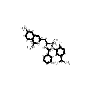 CC(C)c1ccc(F)c(N2C(c3ccccc3)=NC(Cc3cc4cc(N)ccc4c(N)n3)N2C)c1